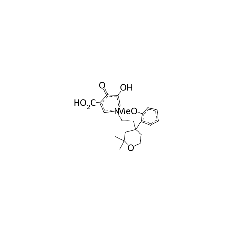 COc1ccccc1C1(CCn2cc(O)c(=O)c(C(=O)O)c2)CCOC(C)(C)C1